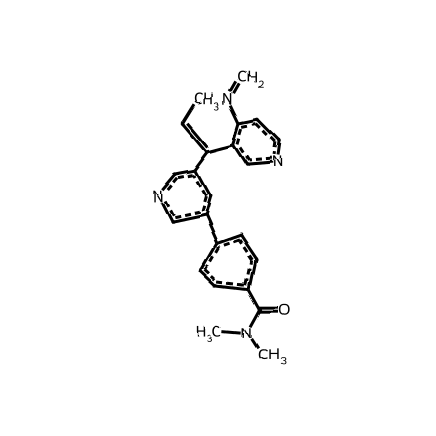 C=Nc1ccncc1/C(=C\C)c1cncc(-c2ccc(C(=O)N(C)C)cc2)c1